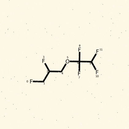 FCC(F)COC(F)(F)C(F)F